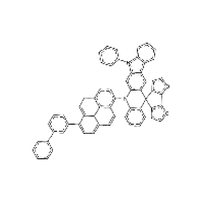 C1=Cc2c(N3c4ccccc4C4(c5cc6c7ccccc7n(-c7ccccc7)c6cc53)c3ccoc3-c3occc34)ccc3c2C2C1=CC=C(c1cccc(-c4ccccc4)c1)C2=CC3